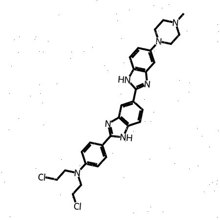 CN1CCN(c2ccc3[nH]c(-c4ccc5[nH]c(-c6ccc(N(CCCl)CCCl)cc6)nc5c4)nc3c2)CC1